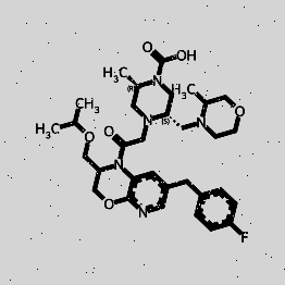 CC(C)OCC1COc2ncc(Cc3ccc(F)cc3)cc2N1C(=O)CN1C[C@@H](C)N(C(=O)O)C[C@@H]1CN1CCOCC1C